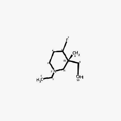 CCN1CCC(F)[C@](C)(CO)C1